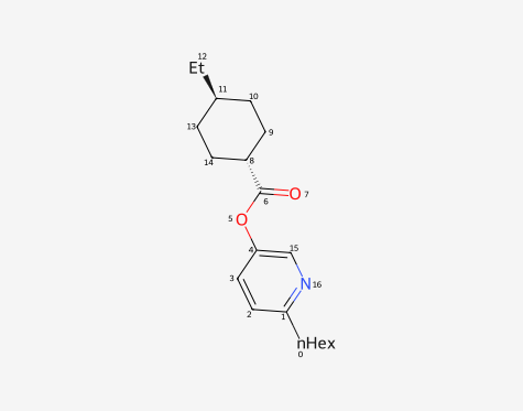 CCCCCCc1ccc(OC(=O)[C@H]2CC[C@H](CC)CC2)cn1